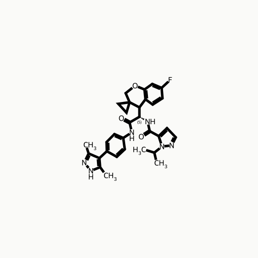 Cc1n[nH]c(C)c1-c1ccc(NC(=O)[C@@H](NC(=O)c2ccnn2C(C)C)C2c3ccc(F)cc3OCC23CC3)cc1